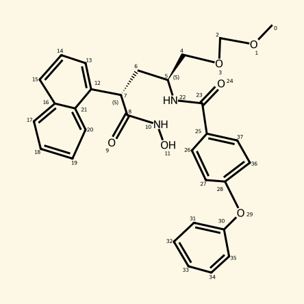 COCOC[C@H](C[C@H](C(=O)NO)c1cccc2ccccc12)NC(=O)c1ccc(Oc2ccccc2)cc1